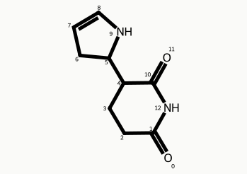 O=C1CCC(C2CC=CN2)C(=O)N1